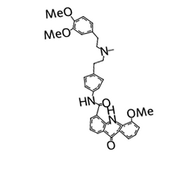 COc1ccc(CCN(C)CCc2ccc(NC(=O)c3cccc4c(=O)c5cccc(OC)c5[nH]c34)cc2)cc1OC